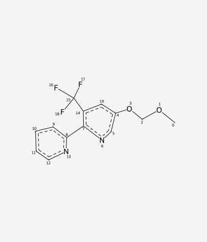 COCOc1cnc(-c2ccccn2)c(C(F)(F)F)c1